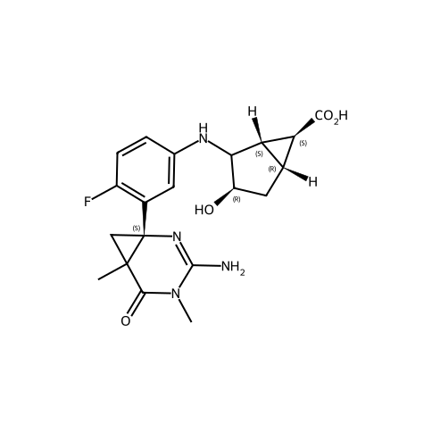 CN1C(=O)C2(C)C[C@]2(c2cc(NC3[C@H]4[C@@H](C[C@H]3O)[C@@H]4C(=O)O)ccc2F)N=C1N